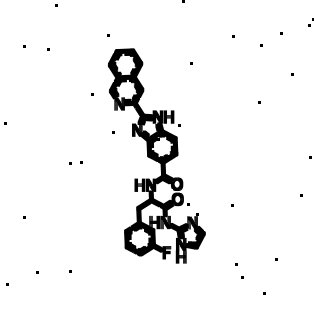 O=C(NC(Cc1cccc(F)c1)C(=O)Nc1ncc[nH]1)c1ccc2[nH]c(-c3cc4ccccc4cn3)nc2c1